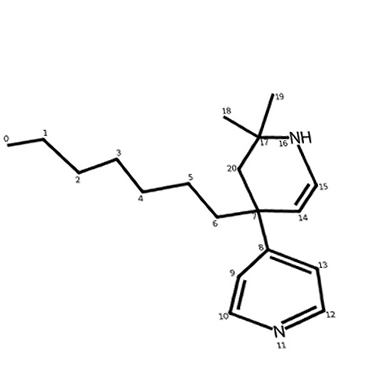 CCCCCCCC1(c2ccncc2)C=CNC(C)(C)C1